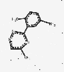 Cc1ccc(N)cc1-c1nncc(C(F)(F)F)n1